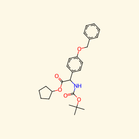 CC(C)(C)OC(=O)NC(C(=O)OC1CCCC1)c1ccc(OCc2ccccc2)cc1